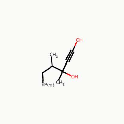 CCCCCCC(C)C(C)(O)C#CO